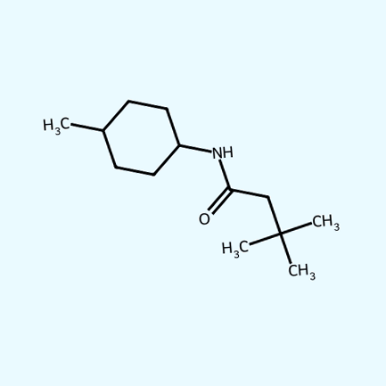 CC1CCC(NC(=O)CC(C)(C)C)CC1